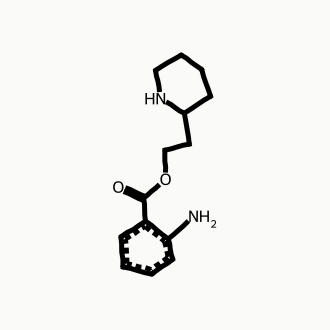 Nc1ccccc1C(=O)OCCC1CCCCN1